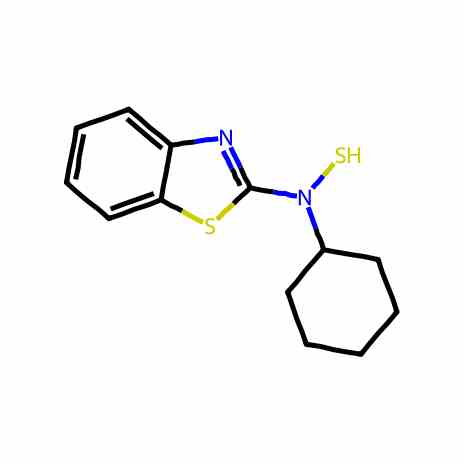 SN(c1nc2ccccc2s1)C1CCCCC1